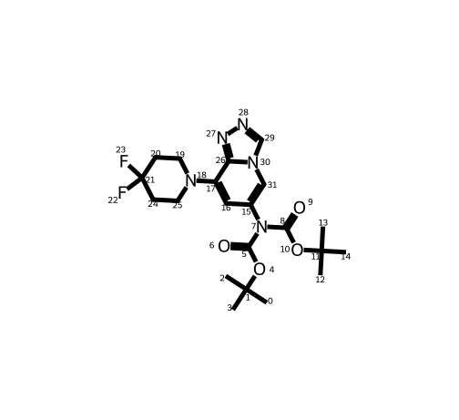 CC(C)(C)OC(=O)N(C(=O)OC(C)(C)C)c1cc(N2CCC(F)(F)CC2)c2nncn2c1